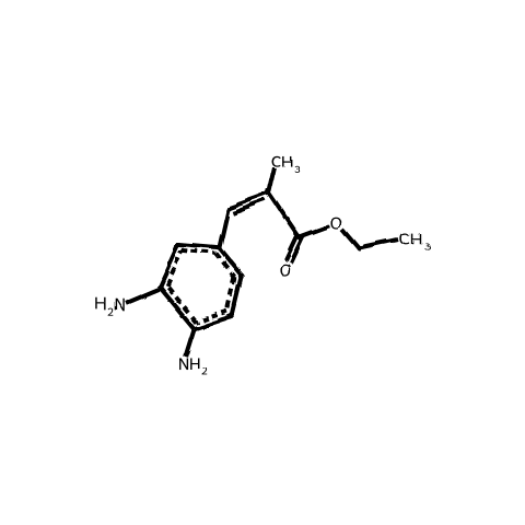 CCOC(=O)C(C)=Cc1ccc(N)c(N)c1